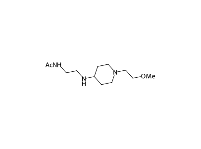 COCCN1CCC(NCCNC(C)=O)CC1